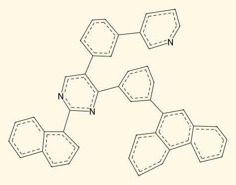 c1cncc(-c2cccc(-c3cnc(-c4cccc5ccccc45)nc3-c3cccc(-c4cc5ccccc5c5ccccc45)c3)c2)c1